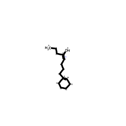 CCC/C(O)=C\CCCC1=CCCCC1